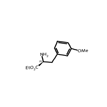 CCOC(=O)[C@@H](N)Cc1cccc(OC)c1